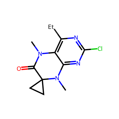 CCc1nc(Cl)nc2c1N(C)C(=O)C1(CC1)N2C